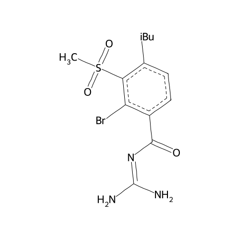 CCC(C)c1ccc(C(=O)N=C(N)N)c(Br)c1S(C)(=O)=O